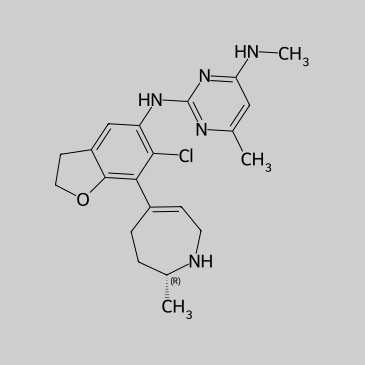 CNc1cc(C)nc(Nc2cc3c(c(C4=CCN[C@H](C)CC4)c2Cl)OCC3)n1